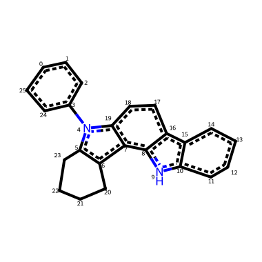 c1ccc(-n2c3c(c4c5[nH]c6ccccc6c5ccc42)CCCC3)cc1